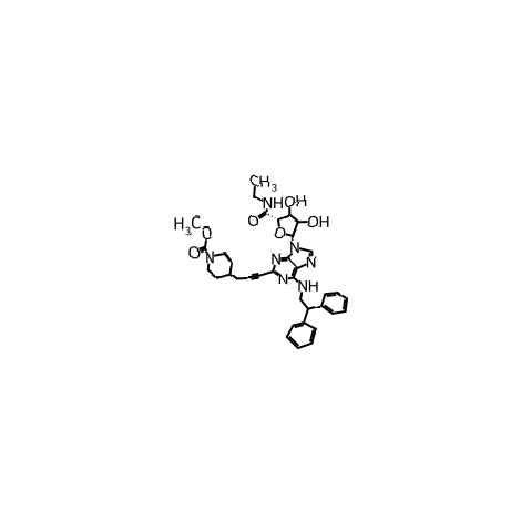 CCNC(=O)[C@H]1O[C@@H](n2cnc3c(NCC(c4ccccc4)c4ccccc4)nc(C#CCC4CCN(C(=O)OC)CC4)nc32)C(O)C1O